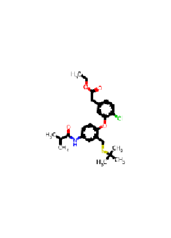 CCOC(=O)Cc1ccc(Cl)c(Oc2ccc(NC(=O)C(C)C)cc2CSC(C)(C)C)c1